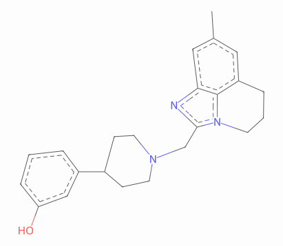 Cc1cc2c3c(c1)nc(CN1CCC(c4cccc(O)c4)CC1)n3CCC2